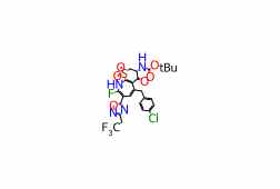 CC(C)(C)OC(=O)N[C@H]1CS(=O)(=O)C2=C(C1=O)C(Cc1ccc(Cl)cc1)=CC(c1nc(CC(F)(F)F)no1)=C(F)N2